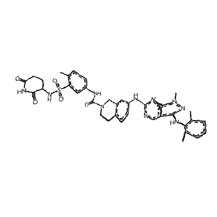 Cc1ccc(NC(=O)N2CCc3ccc(Nc4ncc5c(Nc6c(C)cccc6C)nn(C)c5n4)cc3C2)cc1S(=O)(=O)NC1CCC(=O)NC1=O